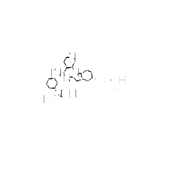 CN(C)c1cccc(Nc2nc3cc4cc(C(=O)O)ccc4n3c3cnccc23)c1